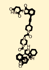 O=C1CCC(N2Cc3c(C#CC4CCN(C(=O)CN5CCN(C(=O)[C@@H]6NC7(CCCCC7)[C@@]7(C(=O)Nc8cc(Cl)ccc87)[C@H]6c6cccc(Cl)c6F)CC5)CC4)cccc3C2=O)C(=O)N1